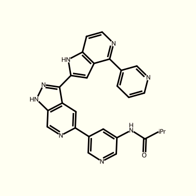 CC(C)C(=O)Nc1cncc(-c2cc3c(-c4cc5c(-c6cccnc6)nccc5[nH]4)n[nH]c3cn2)c1